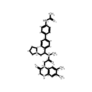 CC(=O)Nc1ccc(-c2ccc(C(CN3CCCC3)N(C)C(=O)CN3C(=O)COc4cc(C)c(C)cc43)cc2)cc1